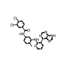 Cc1ccc(NC(=O)c2ccc(Cl)c(Cl)c2)cc1Nc1ncccc1-c1ncnc2[nH]cnc12